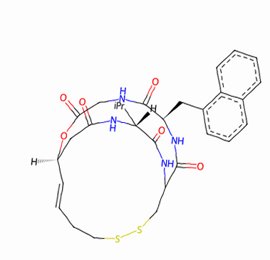 CC(C)[C@H]1NC(=O)C[C@H]2/C=C/CCSSCC(NC1=O)C(=O)N[C@H](Cc1cccc3ccccc13)C(=O)NCC(=O)O2